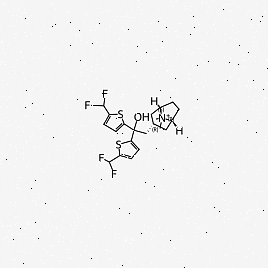 C[N+]1(C)[C@@H]2CC[C@H]1C[C@@H](CC(O)(c1ccc(C(F)F)s1)c1ccc(C(F)F)s1)C2